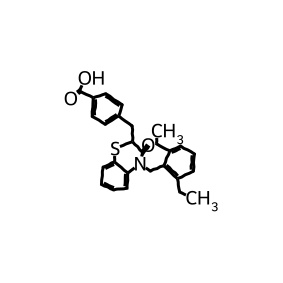 CCc1cccc(CC)c1CN1C(=O)C(Cc2ccc(C(=O)O)cc2)Sc2ccccc21